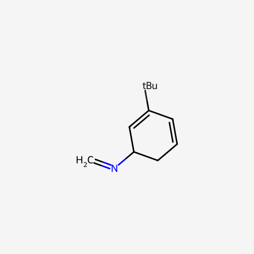 C=NC1C=C(C(C)(C)C)C=CC1